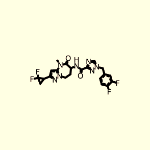 CN1C(=O)C(NC(=O)c2ncn(Cc3ccc(F)c(F)c3)n2)CCn2nc(C3CC3(F)F)cc21